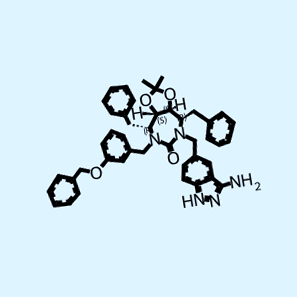 CC1(C)O[C@@H]2[C@@H](O1)[C@@H](Cc1ccccc1)N(Cc1ccc3[nH]nc(N)c3c1)C(=O)N(Cc1cccc(OCc3ccccc3)c1)[C@@H]2Cc1ccccc1